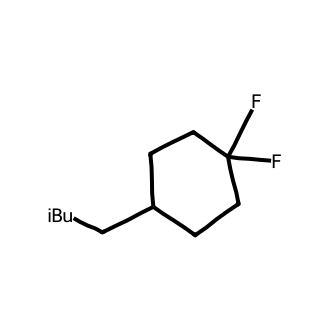 CCC(C)CC1CCC(F)(F)CC1